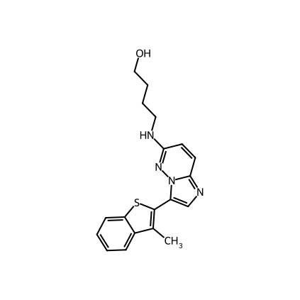 Cc1c(-c2cnc3ccc(NCCCCO)nn23)sc2ccccc12